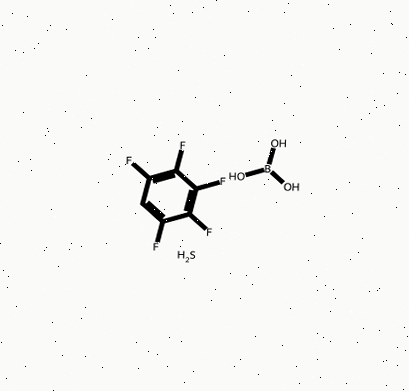 Fc1cc(F)c(F)c(F)c1F.OB(O)O.S